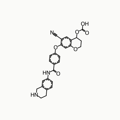 N#Cc1cc2c(cc1Oc1ccc(C(=O)Nc3ccc4c(c3)CNCC4)cc1)OCCC2OC(=O)O